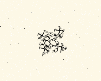 O=S(=O)(O[Si](OS(=O)(=O)C(F)(F)F)(OS(=O)(=O)C(F)(F)F)OS(=O)(=O)C(F)(F)F)C(F)(F)F